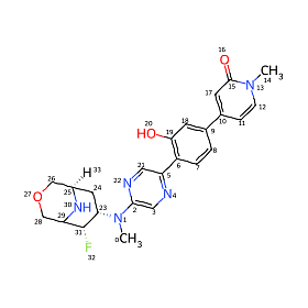 CN(c1cnc(-c2ccc(-c3ccn(C)c(=O)c3)cc2O)cn1)[C@H]1C[C@@H]2COCC(N2)[C@H]1F